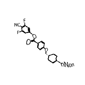 CCCCCCCCC[C@H]1CC[C@H](COc2ccc(C(=O)Oc3cc(F)c(C#N)c(F)c3)cc2)CC1